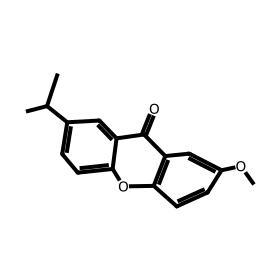 COc1ccc2oc3ccc(C(C)C)cc3c(=O)c2c1